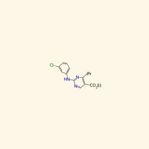 CCOC(=O)c1cnc(Nc2cccc(Cl)c2)nc1C(C)C